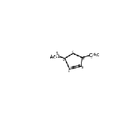 CC(=O)OC1C=CC(OC(C)=O)C1